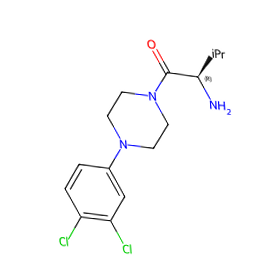 CC(C)[C@@H](N)C(=O)N1CCN(c2ccc(Cl)c(Cl)c2)CC1